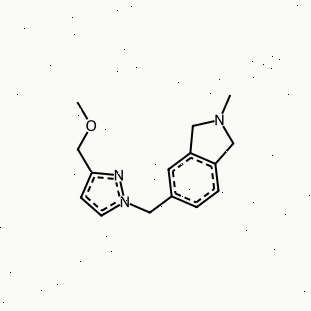 COCc1ccn(Cc2ccc3c(c2)CN(C)C3)n1